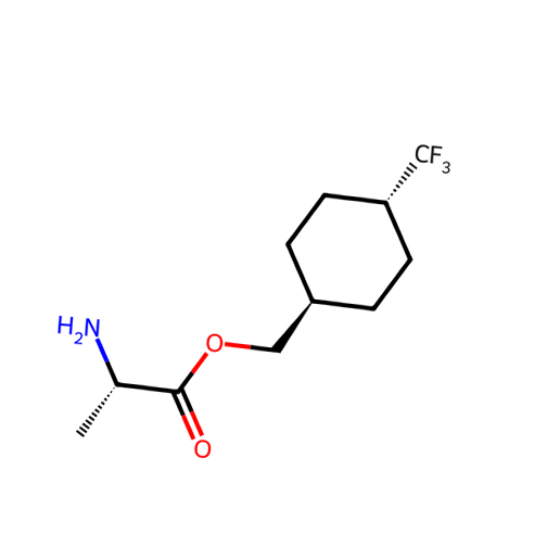 C[C@H](N)C(=O)OC[C@H]1CC[C@H](C(F)(F)F)CC1